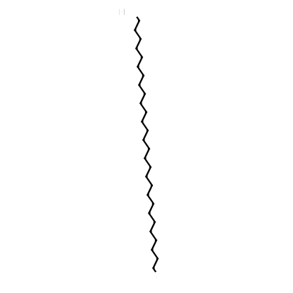 CCCC[CH]CCCCCCCCCCCCCCCCCCCCCCCCC